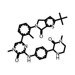 Cc1c(-c2cn(C)c(=O)c(Nc3ccc(C4NCCN(C)C4=O)cc3)n2)cccc1N1Cc2cc(C(C)(C)C)sc2C1=O